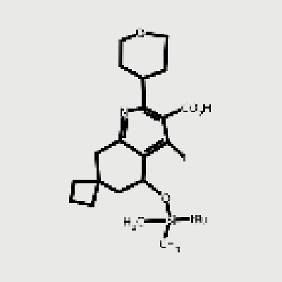 CC(C)(C)[Si](C)(C)OC1CC2(CCC2)Cc2nc(C3CCOCC3)c(C(=O)O)c(I)c21